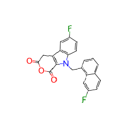 O=C1Cc2c(n(Cc3cccc4ccc(F)cc34)c3ccc(F)cc23)C(=O)O1